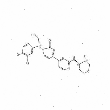 O=c1cc(-c2ccnc(N[C@@H]3CCOC[C@H]3F)n2)ccn1[C@H](CO)c1ccc(Cl)c(Cl)c1